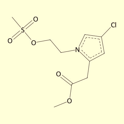 COC(=O)Cc1cc(Cl)cn1CCOS(C)(=O)=O